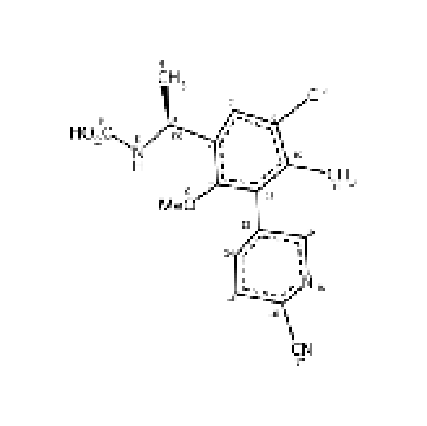 COc1c([C@H](C)NC(=O)O)cc(Cl)c(C)c1-c1ccc(C#N)nc1